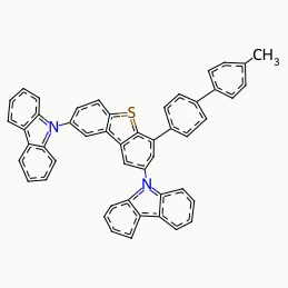 Cc1ccc(-c2ccc(-c3cc(-n4c5ccccc5c5ccccc54)cc4c3sc3ccc(-n5c6ccccc6c6ccccc65)cc34)cc2)cc1